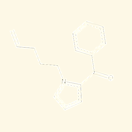 C=CCCCn1cccc1C(=O)c1ccccc1